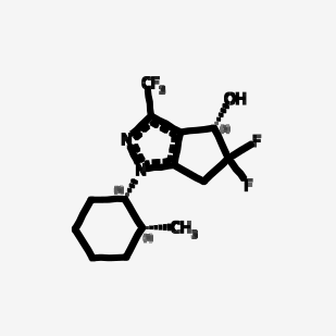 C[C@@H]1CCCC[C@@H]1n1nc(C(F)(F)F)c2c1CC(F)(F)[C@H]2O